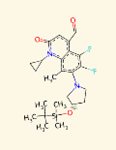 Cc1c(N2CC[C@H](O[Si](C)(C)C(C)(C)C)C2)c(F)c(F)c2c(C=O)cc(=O)n(C3CC3)c12